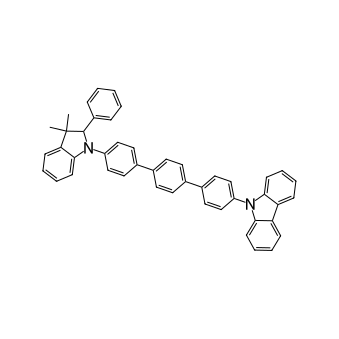 CC1(C)c2ccccc2N(c2ccc(-c3ccc(-c4ccc(-n5c6ccccc6c6ccccc65)cc4)cc3)cc2)C1c1ccccc1